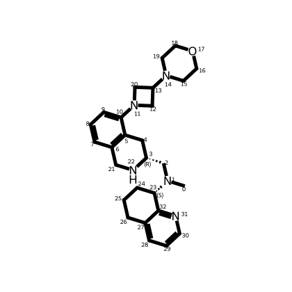 CN(C[C@H]1Cc2c(cccc2N2CC(N3CCOCC3)C2)CN1)[C@H]1CCCc2cccnc21